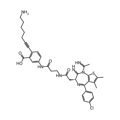 CC(=N)N1C(=N)[C@H](CC(=O)NCCC(=O)Nc2ccc(C#CCCCCCN)c(C(=O)O)c2)N=C(c2ccc(Cl)cc2)c2c1sc(C)c2C